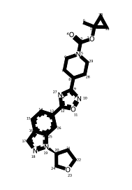 CC1(OC(=O)N2CCC(c3noc(-c4ccc5cnn([C@H]6CCOC6)c5c4)n3)CC2)CC1